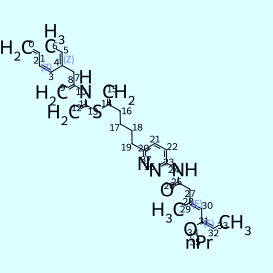 C=C/C=C\C(=C/C)CC(=C)NC(=C)SC(=C)CCCCc1ccc(NC(=O)C/C(C)=C/C(=C\C)OCCC)nn1